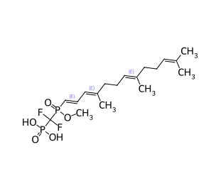 COP(=O)(/C=C/C=C(\C)CC/C=C(\C)CCC=C(C)C)C(F)(F)P(=O)(O)O